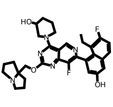 CCc1c(F)ccc2cc(O)cc(-c3ncc4c(N5CCCC(O)C5)nc(OCC56CCCN5CCC6)nc4c3F)c12